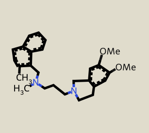 COc1cc2c(cc1OC)CN(CCCN(C)Cc1c(C)ccc3ccccc13)CC2